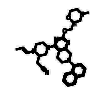 CC=CN1CCN(c2nc(OC[C@@H]3CN(C)CCO3)nc3c2CCN(c2cccc4ccccc24)C3)CC1CC#N